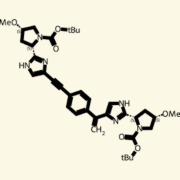 C=C(c1ccc(C#Cc2c[nH]c([C@@H]3C[C@H](OC)CN3C(=O)OC(C)(C)C)n2)cc1)c1c[nH]c([C@@H]2C[C@H](OC)CN2C(=O)OC(C)(C)C)n1